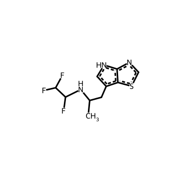 CC(Cc1c[nH]c2ncsc12)NC(F)C(F)F